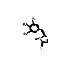 CCC(C)c1cc(C=C2SCC(=O)N2C)cc(C(C)CC)c1O